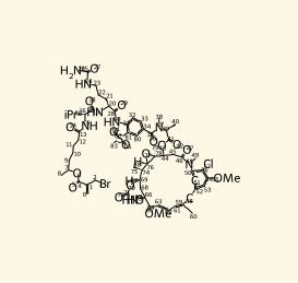 C=C(CBr)C(=O)OC(C)CCCCC(=O)N[C@H](C(=O)N[C@@H](CCCNC(N)=O)C(=O)Nc1ccc(C(=O)N(C)[C@@H](C)C(=O)O[C@H]2CC(=O)N(C)c3cc(cc(OC)c3Cl)C/C(C)=C/C=C/[C@@H](OC)[C@@]3(O)C[C@H](OC(=O)N3)[C@@H](C)[C@@H]3O[C@@]23C)cc1S(C)(=O)=O)C(C)C